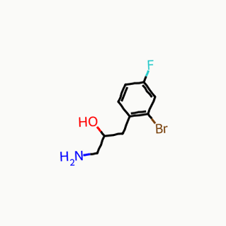 NCC(O)Cc1ccc(F)cc1Br